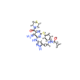 Cc1cc(Nc2nc(Sc3ccc(NC(=O)C4CC4)cc3)nc(C(=O)N3CCSCC3)c2N)n[nH]1